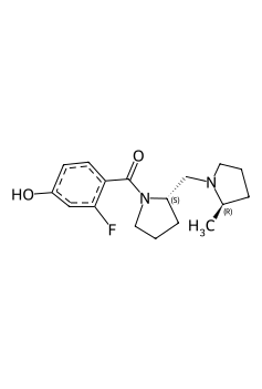 C[C@@H]1CCCN1C[C@@H]1CCCN1C(=O)c1ccc(O)cc1F